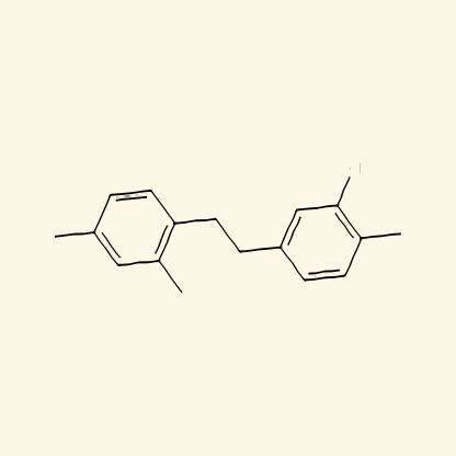 Cc1ccc(CCc2ccc(C)c(Cl)c2)c(C)c1